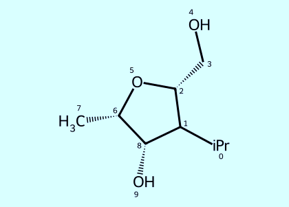 CC(C)C1[C@@H](CO)O[C@@H](C)[C@H]1O